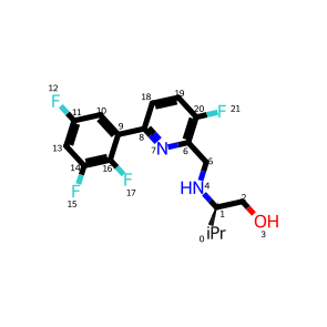 CC(C)[C@H](CO)NCc1nc(-c2cc(F)cc(F)c2F)ccc1F